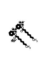 CCCCCCCCC(=O)Oc1ccccc1S(=O)(=O)[O-].CCCCCCCCC(=O)Oc1ccccc1S(=O)(=O)[O-].[Na+].[Na+]